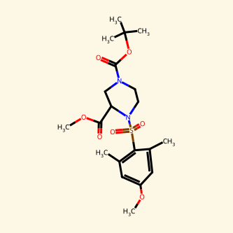 COC(=O)C1CN(C(=O)OC(C)(C)C)CCN1S(=O)(=O)c1c(C)cc(OC)cc1C